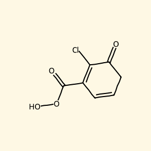 O=C1CC=CC(C(=O)OO)=C1Cl